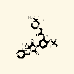 CC1(C)CN(CC(=O)Nc2cc(N3C(=O)N(Cc4ccncc4)C(C)(C)C3=O)ccc2OC(F)(F)F)CCO1